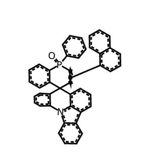 O=P1(c2ccccc2)c2ccccc2C2(c3ccccc3-n3c4ccccc4c4cccc2c43)c2ccc(-c3cccc4ccccc34)cc21